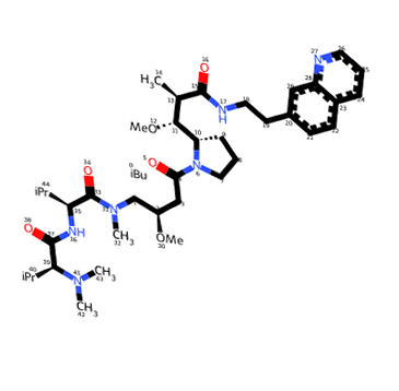 CC[C@H](C)C([C@@H](CC(=O)N1CCC[C@H]1[C@H](OC)[C@@H](C)C(=O)NCCc1ccc2cccnc2c1)OC)N(C)C(=O)[C@@H](NC(=O)[C@H](C(C)C)N(C)C)C(C)C